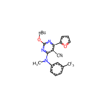 CCCCOc1nc(-c2ccco2)c(C#N)c(N(C)c2cccc(C(F)(F)F)c2)n1